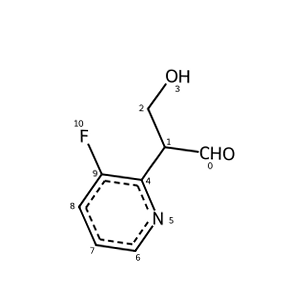 O=CC(CO)c1ncccc1F